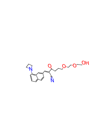 N#C/C(=C\c1ccc2cccc(N3CCC3)c2c1)C(=O)CCCOCCOCCO